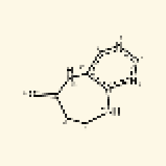 O=C1CCNc2ncncc2N1